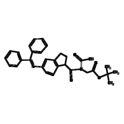 CC(C)(C)OC(=O)CN(C(=O)O)C(=O)C1CCc2cc(N=C(c3ccccc3)c3ccccc3)ccc21